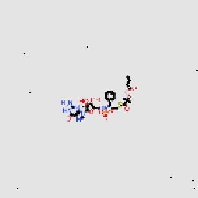 CCCC(=O)OCC(C)(C)C(=O)SCCOP(=O)(NCc1ccccc1)OCC1O[C@@H](n2cnc3c(=O)[nH]c(N)nc32)[C@](C)(O)[C@@H]1O